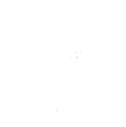 O=C(O)CC1COc2cc(O[C@@H]3CCc4c(Cc5c(F)cccc5F)ccc(F)c43)ccc21